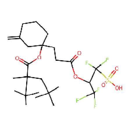 C=C1CCCC(CCC(=O)OC(C(F)(F)F)C(F)(F)S(=O)(=O)O)(OC(=O)C(C)(CC(C)(C)C)C(C)(C)C)C1